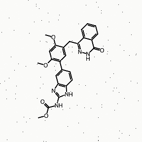 COC(=O)Nc1nc2cc(-c3cc(Cc4n[nH]c(=O)c5ccccc45)c(OC)cc3OC)ccc2[nH]1